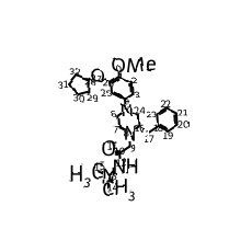 COc1ccc(N2CCN(CC(=O)NN(C)C)[C@@H](Cc3ccccc3)C2)cc1OC1CCCC1